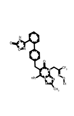 CCCc1c(Cc2ccc(-c3ccccc3-c3noc(=O)[nH]3)cc2)c(=O)n(CC(=NOCC)C(F)(F)F)c2nc(C)nn12